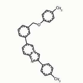 Cc1ccc(OCc2cccc(-c3ccc4nc(-c5ccc(C)cc5)cn4c3)c2)cc1